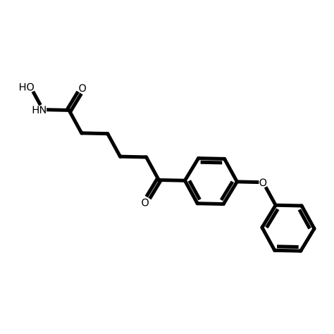 O=C(CCCCC(=O)c1ccc(Oc2ccccc2)cc1)NO